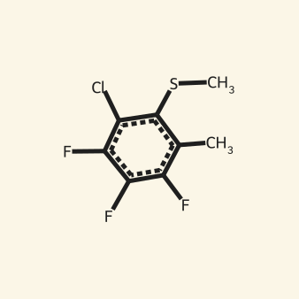 CSc1c(C)c(F)c(F)c(F)c1Cl